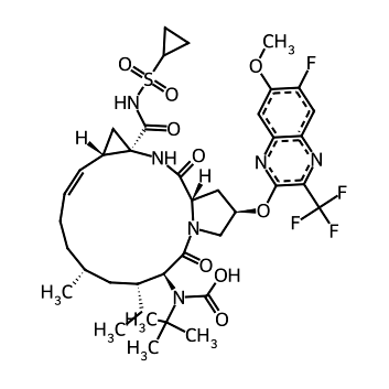 CC[C@@H]1C[C@H](C)CCC=C[C@@H]2C[C@@]2(C(=O)NS(=O)(=O)C2CC2)NC(=O)[C@@H]2C[C@@H](Oc3nc4cc(OC)c(F)cc4nc3C(F)(F)F)CN2C(=O)[C@H]1N(C(=O)O)C(C)(C)C